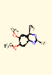 Bc1nc(C)nc2cc(OC)c(OC)cc12